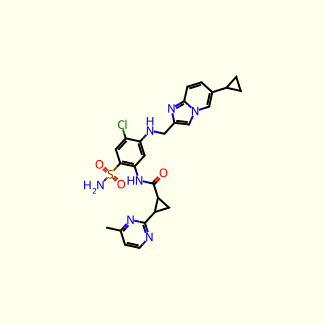 Cc1ccnc(C2CC2C(=O)Nc2cc(NCc3cn4cc(C5CC5)ccc4n3)c(Cl)cc2S(N)(=O)=O)n1